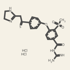 CS(=O)(=O)c1cc(C(=O)NC(=N)N)ccc1Oc1ccc(C(=S)CC2=NCCN2)cc1.Cl.Cl